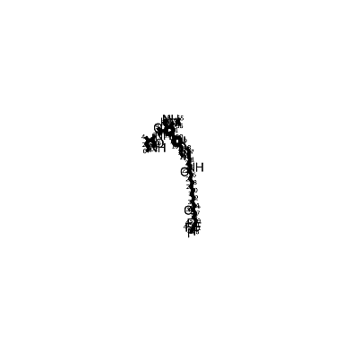 Cc1cc(C)c(CNC(=O)c2cc(-c3ccc(N4CCN(CCNC(=O)CCCCCCCCC[S+]([O-])CCCC(F)(F)C(F)(F)F)CC4)nc3)cc(NC(C)C)c2C=N)c(=O)[nH]1